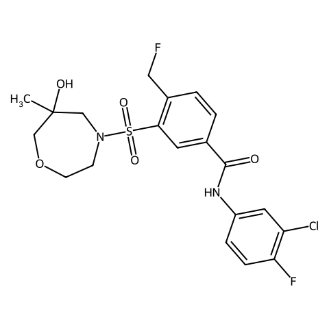 CC1(O)COCCN(S(=O)(=O)c2cc(C(=O)Nc3ccc(F)c(Cl)c3)ccc2CF)C1